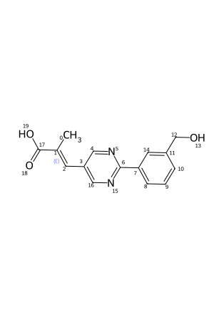 C/C(=C\c1cnc(-c2cccc(CO)c2)nc1)C(=O)O